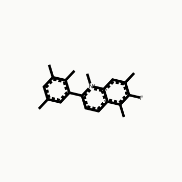 Cc1cc(C)c(C)c(-c2ccc3c(C)c(F)c(C)cc3[n+]2C)c1